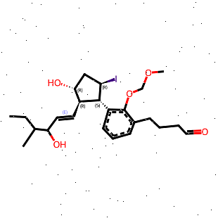 CCC(C)C(O)/C=C/[C@@H]1[C@@H](c2cccc(CCCC=O)c2OCOC)[C@H](I)C[C@H]1O